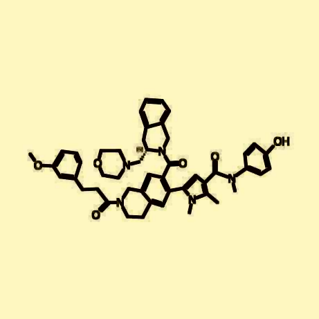 COc1cccc(CCC(=O)N2CCc3cc(-c4cc(C(=O)N(C)c5ccc(O)cc5)c(C)n4C)c(C(=O)N4Cc5ccccc5C[C@H]4CN4CCOCC4)cc3C2)c1